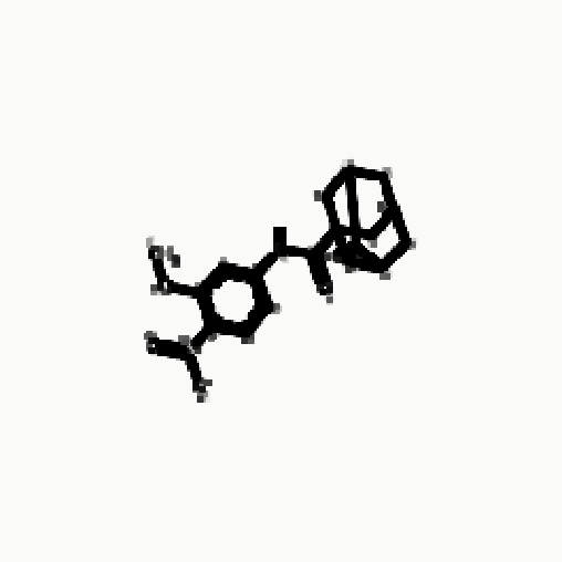 COc1cc(NC(=O)C23CC4CC(C2)C(=O)C(C4)C3)ccc1[N+](=O)[O-]